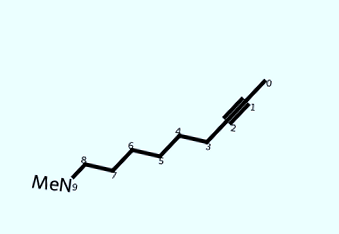 CC#CCCCCCCNC